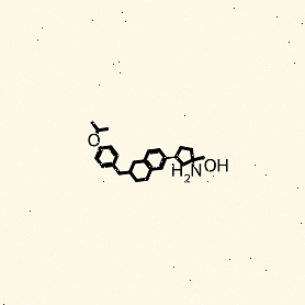 CC(C)Oc1ccc(CC2CCc3cc([C@H]4CC[C@](N)(CO)C4)ccc3C2)cc1